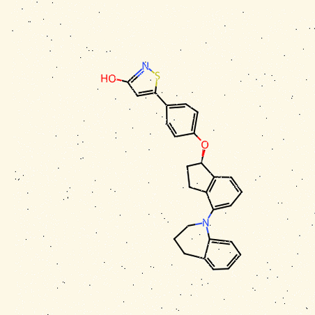 Oc1cc(-c2ccc(O[C@@H]3CCc4c3cccc4N3CCCc4ccccc43)cc2)sn1